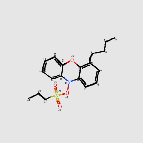 CCCCc1cccc2c1Oc1ccccc1N2OS(=O)(=O)CCC